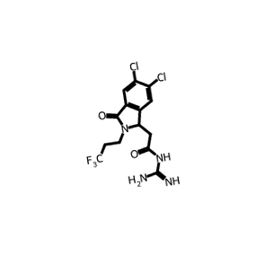 N=C(N)NC(=O)CC1c2cc(Cl)c(Cl)cc2C(=O)N1CCC(F)(F)F